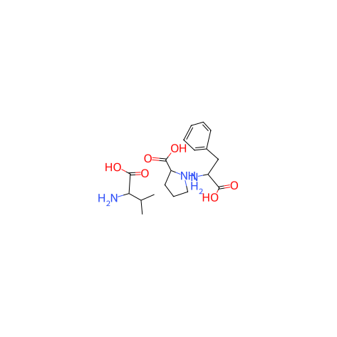 CC(C)C(N)C(=O)O.NC(Cc1ccccc1)C(=O)O.O=C(O)C1CCCN1